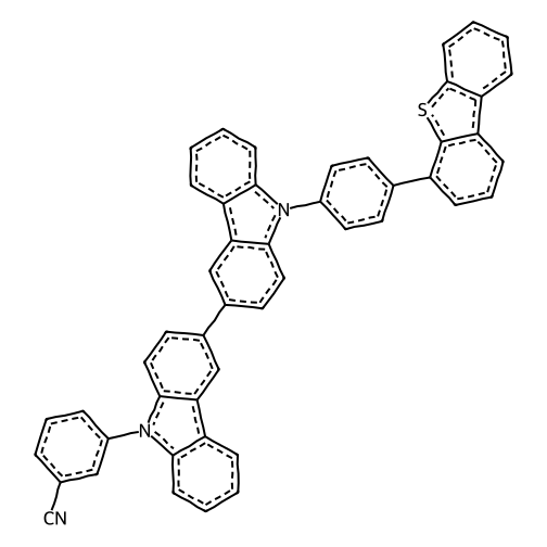 N#Cc1cccc(-n2c3ccccc3c3cc(-c4ccc5c(c4)c4ccccc4n5-c4ccc(-c5cccc6c5sc5ccccc56)cc4)ccc32)c1